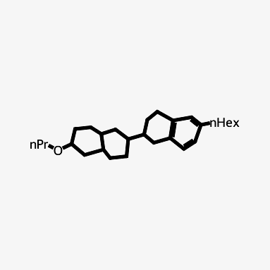 CCCCCCc1ccc2c(c1)CCC(C1CCC3CC(OCCC)CCC3C1)C2